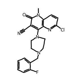 Cn1c(=O)c(C#N)c(N2CCN(Cc3ccccc3F)CC2)c2nc(Cl)ccc21